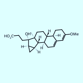 COC1=CC2=CC[C@@H]3[C@H](CC[C@@]4(C)[C@H]3[C@H]3C[C@H]3[C@@]4(O)CCC(=O)O)[C@H]2CC1